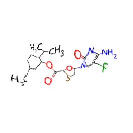 CC1CCC(C(C)C)C(OC(=O)C2OC(n3cc(F)c(N)nc3=O)CS2)C1